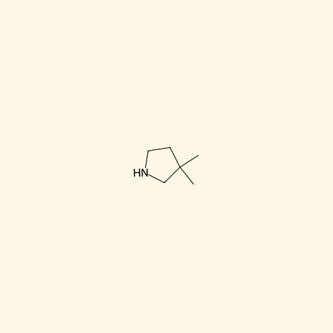 CC1(C)CCNC1